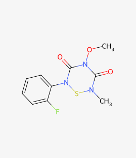 CON1C(=O)N(C)SN(c2ccccc2F)C1=O